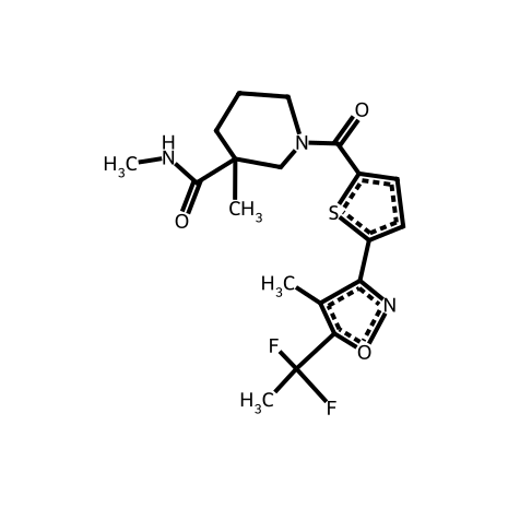 CNC(=O)C1(C)CCCN(C(=O)c2ccc(-c3noc(C(C)(F)F)c3C)s2)C1